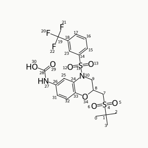 CC(C)(C)S(=O)(=O)CC1CN(S(=O)(=O)c2cccc(C(F)(F)F)c2)c2cc(NC(=O)O)ccc2O1